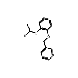 FC(F)Oc1ccc[c]c1OCc1ccccc1